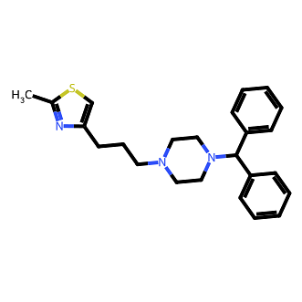 Cc1nc(CCCN2CCN(C(c3ccccc3)c3ccccc3)CC2)cs1